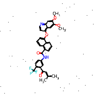 COc1cc2nccc(Oc3cccc4c(C(=O)Nc5ccc(C(F)(F)F)c(C(=O)C=C(C)C)c5)cccc34)c2cc1OC